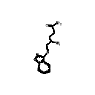 NC(=O)CCC(N)COc1noc2ccccc12